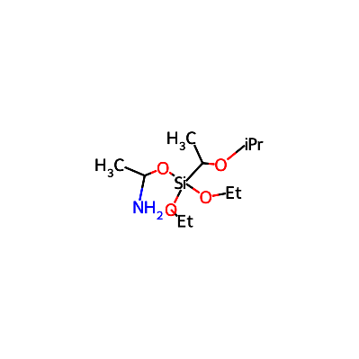 CCO[Si](OCC)(OC(C)N)C(C)OC(C)C